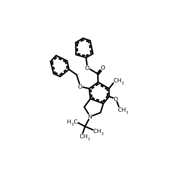 COc1c(C)c(C(=O)Oc2ccccc2)c(OCc2ccccc2)c2c1CN(C(C)(C)C)C2